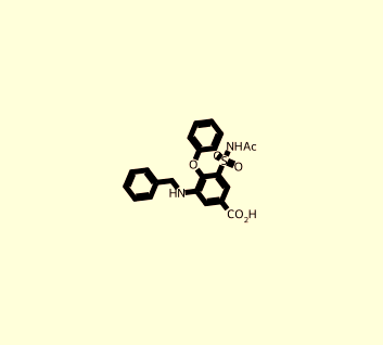 CC(=O)NS(=O)(=O)c1cc(C(=O)O)cc(NCc2ccccc2)c1Oc1ccccc1